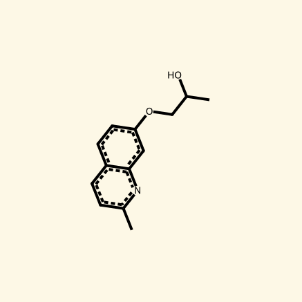 Cc1ccc2ccc(OCC(C)O)cc2n1